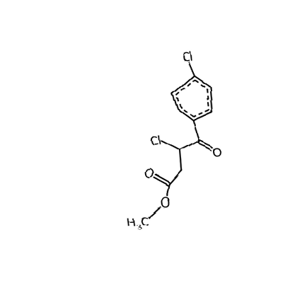 COC(=O)CC(Cl)C(=O)c1ccc(Cl)cc1